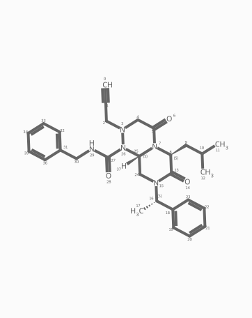 C#CCN1CC(=O)N2[C@@H](CC(C)C)C(=O)N([C@@H](C)c3ccccc3)C[C@@H]2N1C(=O)NCc1ccccc1